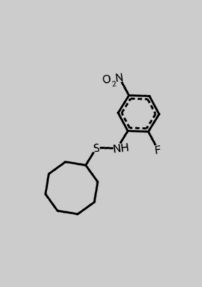 O=[N+]([O-])c1ccc(F)c(NSC2CCCCCCC2)c1